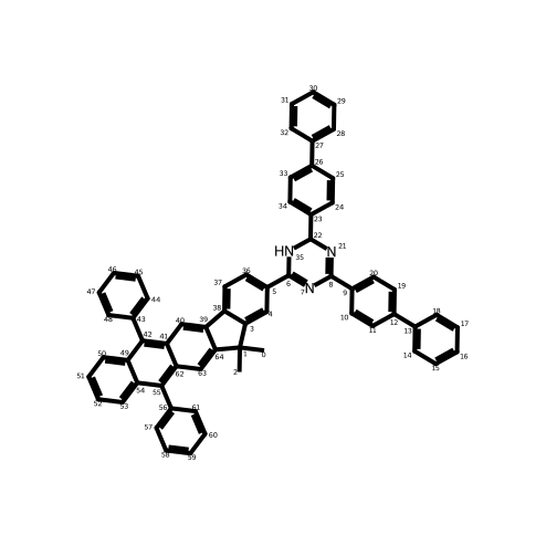 CC1(C)c2cc(C3=NC(c4ccc(-c5ccccc5)cc4)=NC(c4ccc(-c5ccccc5)cc4)N3)ccc2-c2cc3c(-c4ccccc4)c4ccccc4c(-c4ccccc4)c3cc21